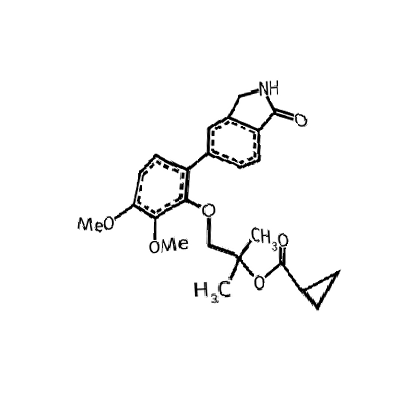 COc1ccc(-c2ccc3c(c2)CNC3=O)c(OCC(C)(C)OC(=O)C2CC2)c1OC